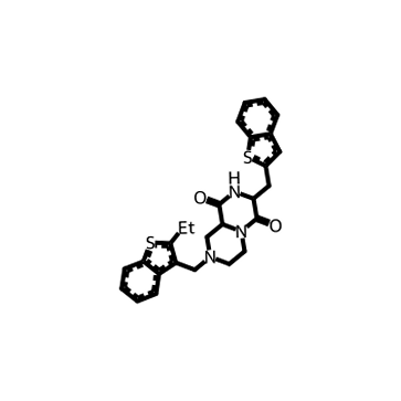 CCc1sc2ccccc2c1CN1CCN2C(=O)C(Cc3cc4ccccc4s3)NC(=O)C2C1